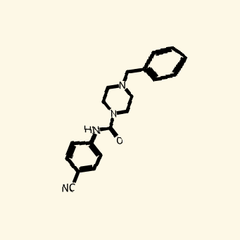 N#Cc1ccc(NC(=O)N2CCN(Cc3ccccc3)CC2)cc1